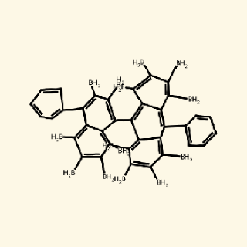 Bc1c(B)c(B)c2c(-c3c4c(B)c(B)c(B)c(B)c4c(-c4ccccc4)c4c(B)c(B)c(B)c(B)c34)c(B)c(B)c(-c3ccccc3)c2c1B